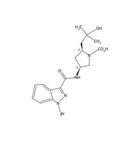 CC(C)n1nc(C(=O)N[C@H]2C[C@@H](CC(C)(C)O)N(C(=O)O)C2)c2ccccc21